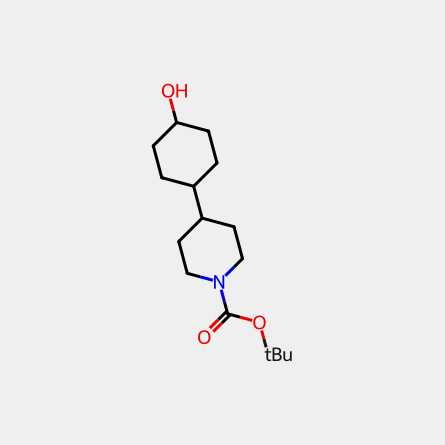 CC(C)(C)OC(=O)N1CCC(C2CCC(O)CC2)CC1